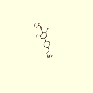 CCC/C=C/C1CCC(c2cc(F)c(C#CC(F)(F)F)c(F)c2)CC1